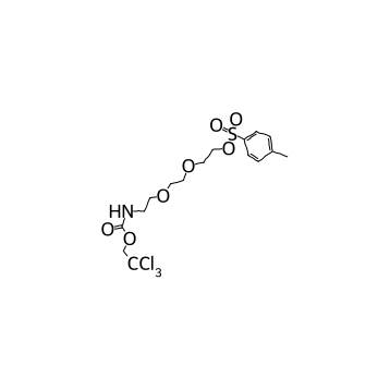 Cc1ccc(S(=O)(=O)OCCOCCOCCNC(=O)OCC(Cl)(Cl)Cl)cc1